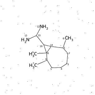 CC1CCCCC(C)C2(C)C(C(N)N)C12